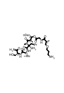 CCCCCCCCCC[C@@H](OC(=O)CNC(=O)[C@@H](C)COCCCN)[C@@H](C)C(=O)N(C)[C@]([SiH3])(CC(C)C)C(O)N[C@H](C(=O)N[C@@H](CO)C(N)=O)[C@@H](C)CC